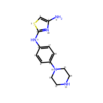 Nc1[c]sc(Nc2ccc(N3CCNCC3)cc2)n1